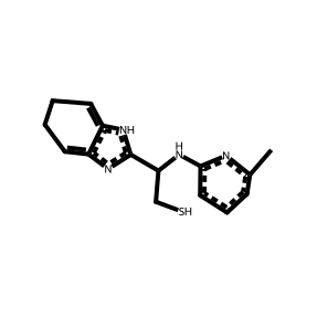 Cc1cccc(NC(CS)c2nc3c([nH]2)=CCCC=3)n1